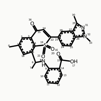 Cc1cc2c(c(C(C)Nc3ccccc3C(=O)O)c1)S(=O)(=O)C(c1ccc3c(c1)c(C)nn3C)=CC2=O